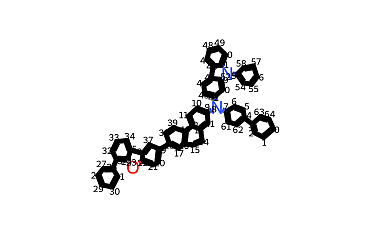 c1ccc(-c2ccc(N(c3ccc4c(ccc5cc(-c6ccc7oc8c(-c9ccccc9)cccc8c7c6)ccc54)c3)c3ccc4c5ccccc5n(-c5ccccc5)c4c3)cc2)cc1